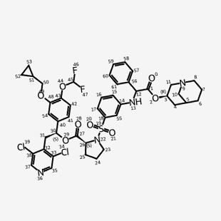 O=C(O[C@@H]1CC2CCCN(C2)C1)C(Nc1cccc(S(=O)(=O)N2CCC[C@H]2C(=O)O[C@@H](Cc2c(Cl)cncc2Cl)c2ccc(OC(F)F)c(OCC3CC3)c2)c1)c1ccccc1